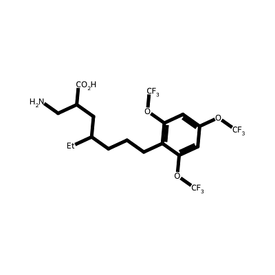 CCC(CCCc1c(OC(F)(F)F)cc(OC(F)(F)F)cc1OC(F)(F)F)CC(CN)C(=O)O